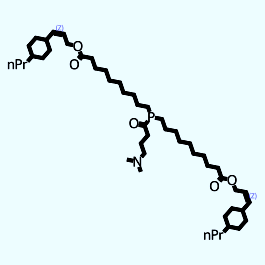 CCCC1CCC(/C=C\COC(=O)CCCCCCCCCP(CCCCCCCCCC(=O)OC/C=C\C2CCC(CCC)CC2)C(=O)CCCN(C)C)CC1